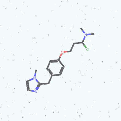 CN(C)C(Cl)CCOc1ccc(Cc2nccn2C)cc1